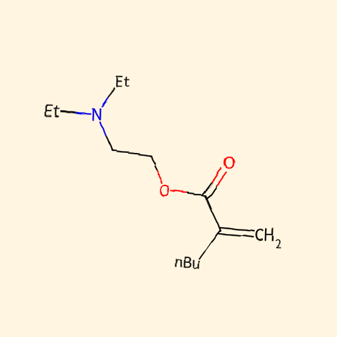 C=C(CCCC)C(=O)OCCN(CC)CC